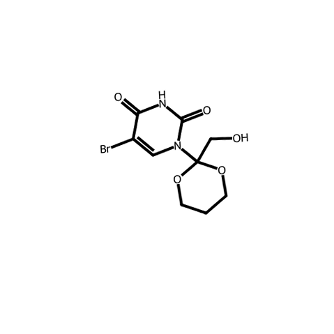 O=c1[nH]c(=O)n(C2(CO)OCCCO2)cc1Br